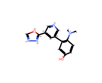 CN(C)c1ccc(O)cc1-c1cncc(-c2nnco2)c1